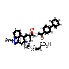 CC(C)n1cc2c3c(cccc31)C1=C[C@@H](C(=O)OCC(=O)c3ccc(-c4ccccc4)cc3)CN(C)[C@@H]1C2.O=C(O)/C=C\C(=O)O